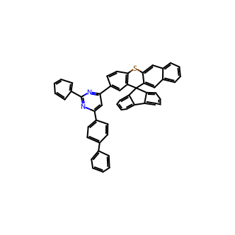 c1ccc(-c2ccc(-c3cc(-c4ccc5c(c4)C4(c6cc7ccccc7cc6S5)c5ccccc5-c5ccccc54)nc(-c4ccccc4)n3)cc2)cc1